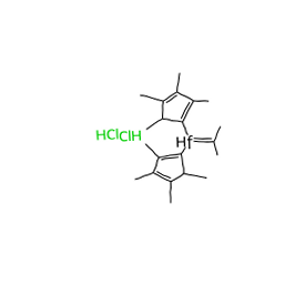 CC1=C(C)C(C)[C]([Hf]([C]2=C(C)C(C)=C(C)C2C)=[C](C)C)=C1C.Cl.Cl